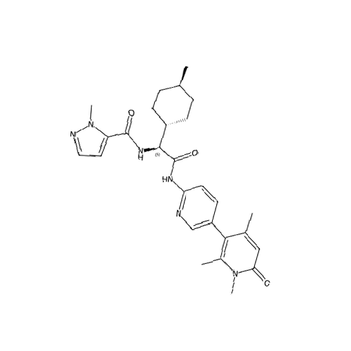 Cc1cc(=O)n(C)c(C)c1-c1ccc(NC(=O)[C@@H](NC(=O)c2ccnn2C)[C@H]2CC[C@H](C)CC2)nc1